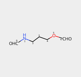 O=CNCCCOC=O